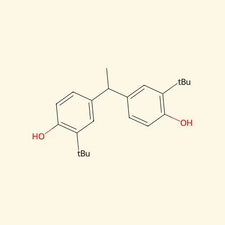 CC(c1ccc(O)c(C(C)(C)C)c1)c1ccc(O)c(C(C)(C)C)c1